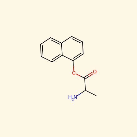 CC(N)C(=O)Oc1cccc2ccccc12